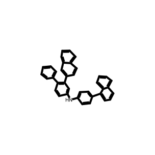 c1ccc(-c2ccc(Nc3ccc(-c4cccc5ccccc45)cc3)cc2-c2ccc3ccccc3c2)cc1